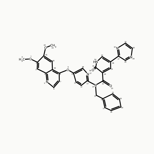 COc1cc2nccc(Oc3ccc(N(Cc4ccccc4)C(=O)c4cc(-c5cnccn5)c[nH]c4=O)nc3)c2cc1OC